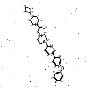 O=C(CN1CCN(c2ccc(-c3ccc(Oc4ccccc4)cc3)nn2)CC1)N1CCN(C2CCC2)CC1